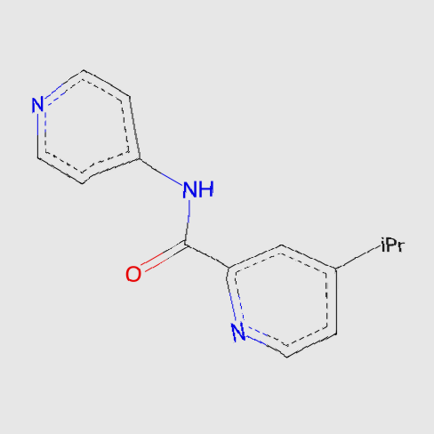 CC(C)c1ccnc(C(=O)Nc2ccncc2)c1